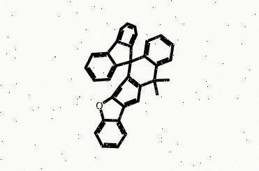 CC1(C)c2ccccc2C2(c3ccccc3-c3ccccc32)c2cc3oc4ccccc4c3cc21